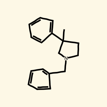 CC1(c2ccccc2)CCN(Cc2ccccc2)C1